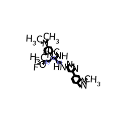 CCN(CC)C1CCN(C(/C=C(\C)OC(F)F)=C(/C=C/Nc2cc(-c3ccc4cnn(C)c4c3)ncn2)NC)CC1